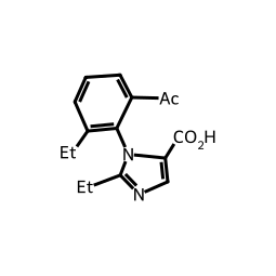 CCc1cccc(C(C)=O)c1-n1c(C(=O)O)cnc1CC